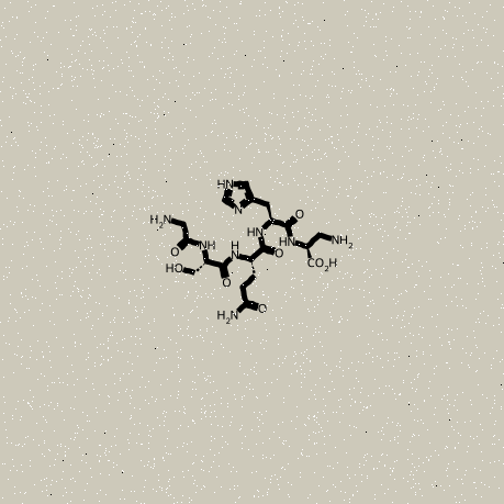 NCC(=O)N[C@@H](CO)C(=O)N[C@@H](CCC(N)=O)C(=O)N[C@@H](Cc1c[nH]cn1)C(=O)N[C@@H](CN)C(=O)O